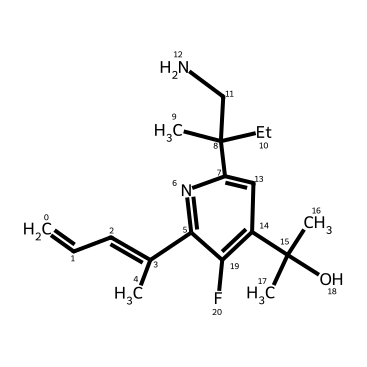 C=C/C=C(\C)c1nc(C(C)(CC)CN)cc(C(C)(C)O)c1F